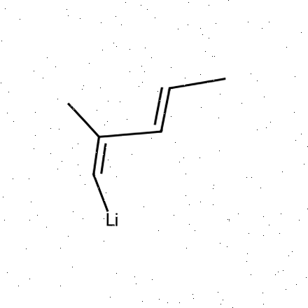 [Li][CH]=C(C)C=CC